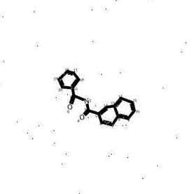 O=C([N]C(=O)c1ccc2ccccc2c1)c1ccccc1